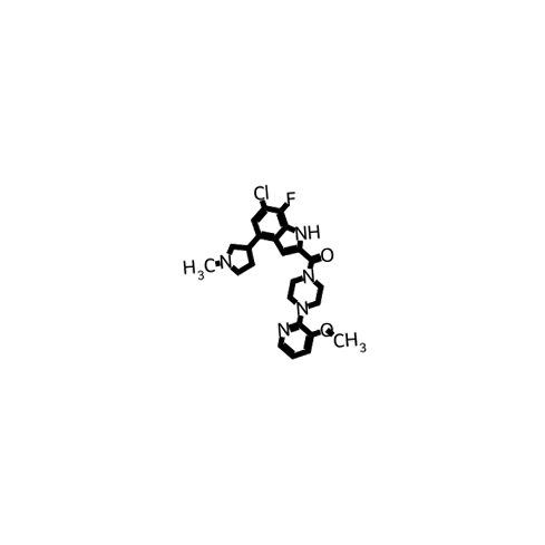 COc1cccnc1N1CCN(C(=O)c2cc3c(C4CCN(C)C4)cc(Cl)c(F)c3[nH]2)CC1